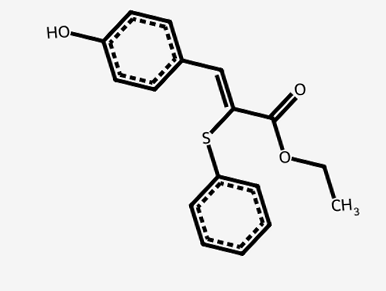 CCOC(=O)C(=Cc1ccc(O)cc1)Sc1ccccc1